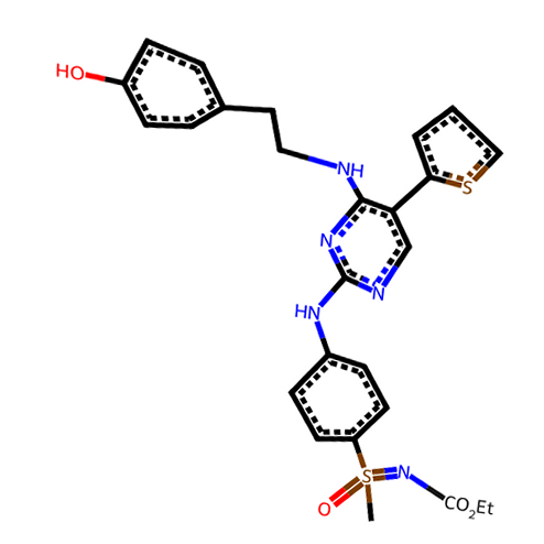 CCOC(=O)N=S(C)(=O)c1ccc(Nc2ncc(-c3cccs3)c(NCCc3ccc(O)cc3)n2)cc1